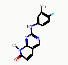 CCn1c(=O)ccc2cnc(Nc3ccc(F)c(C(F)(F)F)c3)nc21